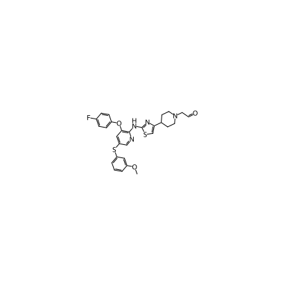 COc1cccc(Sc2cnc(Nc3nc(C4CCN(CC=O)CC4)cs3)c(Oc3ccc(F)cc3)c2)c1